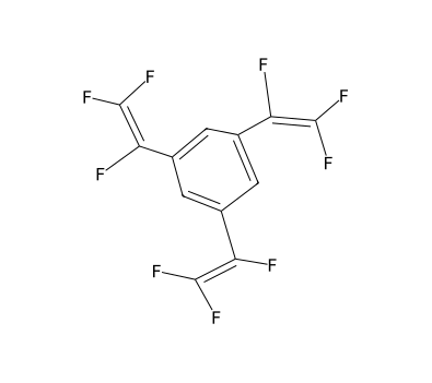 FC(F)=C(F)c1cc(C(F)=C(F)F)cc(C(F)=C(F)F)c1